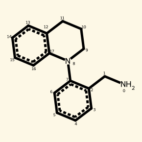 NCc1ccccc1N1CCCc2ccccc21